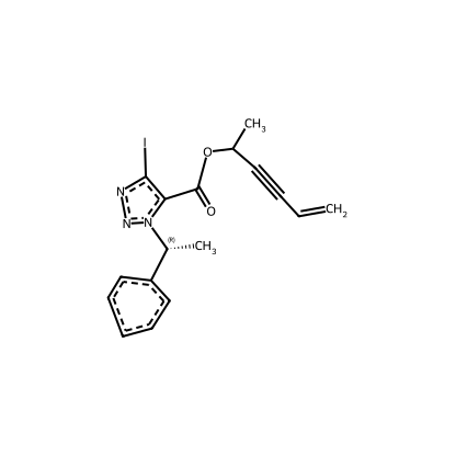 C=CC#CC(C)OC(=O)c1c(I)nnn1[C@H](C)c1ccccc1